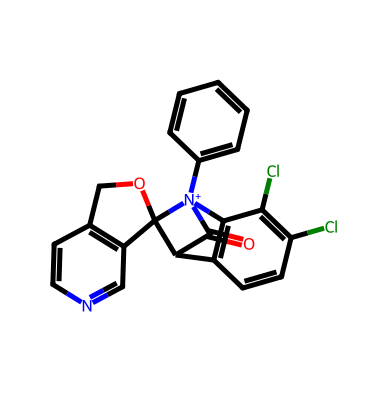 O=C1C2c3ccc(Cl)c(Cl)c3[N+]1(c1ccccc1)C21OCc2ccncc21